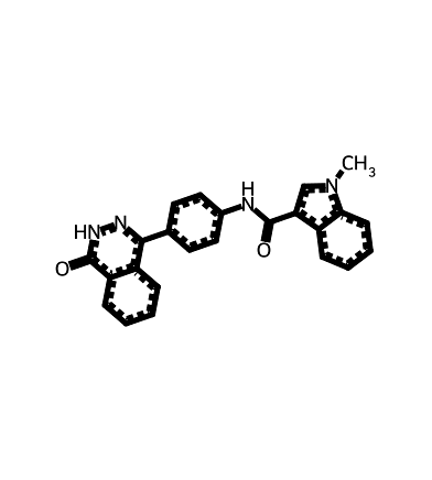 Cn1cc(C(=O)Nc2ccc(-c3n[nH]c(=O)c4ccccc34)cc2)c2ccccc21